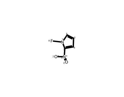 O=[N+]([O-])c1cccn1F